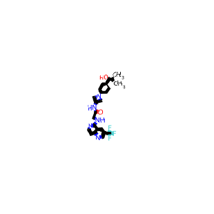 CC(C)[C@@H](O)[C@H]1CC[C@H](N2CC(NC(=O)CNc3nccc4ncc(C(F)(F)F)cc34)C2)CC1